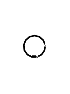 C1=N\CCSCCCCCCCC/1